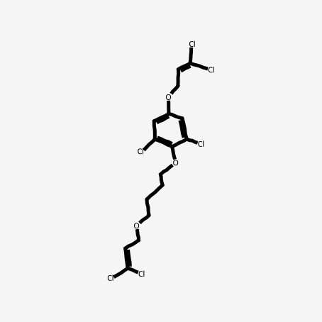 ClC(Cl)=CCOCCCCOc1c(Cl)cc(OCC=C(Cl)Cl)cc1Cl